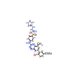 COc1ccc(Br)c(-c2cc(C)c3nc(Nc4ccc(S(=O)(=O)NCCN5CCCC5)cc4)nnc3c2)c1